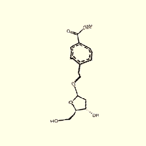 COC(=O)c1ccc(COC2C[C@H](O)[C@@H](CO)O2)cc1